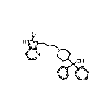 O=c1[nH]c2cccnc2n1CCCN1CCC(C(O)(c2ccccc2)c2ccccc2)CC1